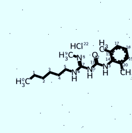 CCCCCCNC(=NC)NC(=O)Nc1c(C)cccc1C.Cl